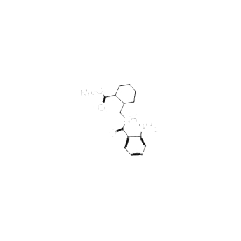 COC(=O)C1CCCCC1CNC(=O)c1ccccc1N